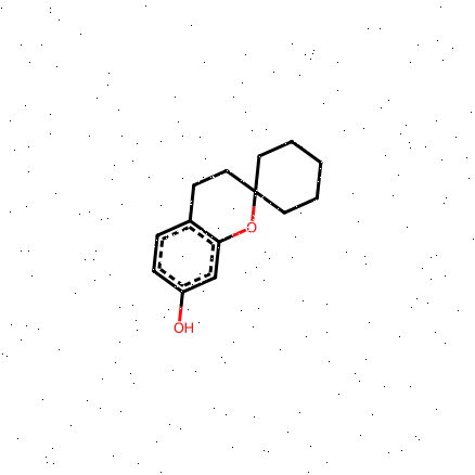 Oc1ccc2c(c1)OC1(CCCCC1)CC2